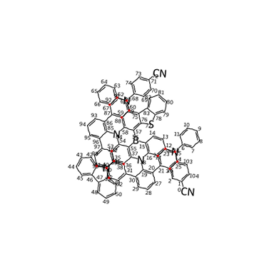 N#Cc1ccc(N(c2ccccc2)c2ccc3c(c2)N(c2c(-c4ccccc4)cccc2-c2ccccc2)c2cc(-n4c5ccccc5c5ccccc54)cc4c2B3c2c(cc(N(c3ccccc3)c3ccc(C#N)cc3)c3c2sc2ccccc23)N4c2c(-c3ccccc3)cccc2-c2ccccc2)cc1